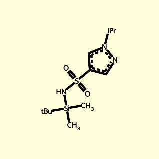 CC(C)n1cc(S(=O)(=O)N[Si](C)(C)C(C)(C)C)cn1